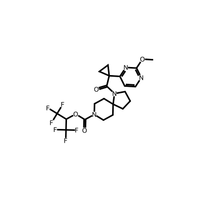 COc1nccc(C2(C(=O)N3CCCC34CCN(C(=O)OC(C(F)(F)F)C(F)(F)F)CC4)CC2)n1